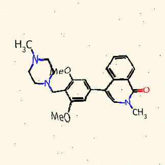 COc1cc(-c2cn(C)c(=O)c3ccccc23)cc(OC)c1CN1CCN(C)CC1